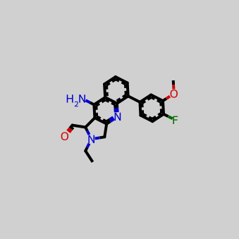 CCN1Cc2nc3c(-c4ccc(F)c(OC)c4)cccc3c(N)c2C1C=O